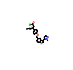 CC#C[C@@H](CC(=O)Cl)c1ccc(OCc2ccc3scc(-c4ccnn4C)c3c2)cc1